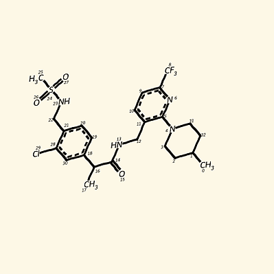 CC1CCN(c2nc(C(F)(F)F)ccc2CNC(=O)C(C)c2ccc(CNS(C)(=O)=O)c(Cl)c2)CC1